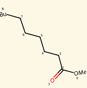 COC(=O)CCCCCC(C)(C)C